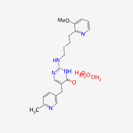 COc1cccnc1CCCCNc1ncc(Cc2ccc(C)nc2)c(=O)[nH]1.O.O.O